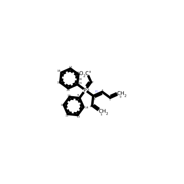 C=C/C=C(\C=C)P(=CC(=O)OCC)(c1ccccc1)c1ccccc1